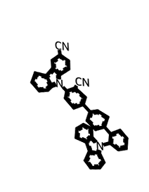 N#Cc1ccc2c(c1)c1ccccc1n2-c1ccc(-c2ccc(-c3ccccc3-n3c4ccccc4c4ccccc43)cc2)cc1C#N